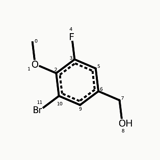 COc1c(F)cc(CO)cc1Br